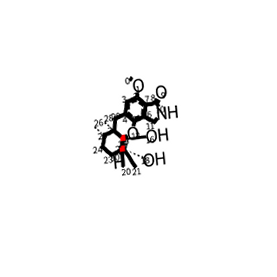 COc1cc2c(c3c1C(=O)NC3)O[C@@]13C[C@@H](O)[C@H](O)C(C)(C)[C@@H]1CC[C@H](C)[C@@]3(C)C2